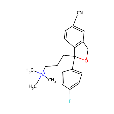 C[N+](C)(C)CCCC1(c2ccc(F)cc2)OCc2cc(C#N)ccc21